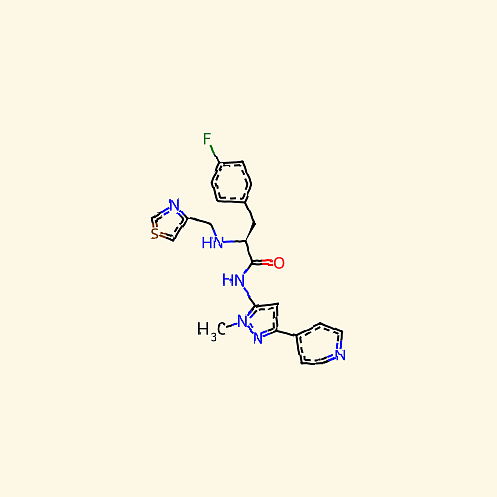 Cn1nc(-c2ccncc2)cc1NC(=O)[C@H](Cc1ccc(F)cc1)NCc1cscn1